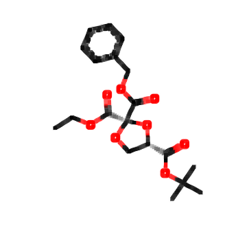 CCOC(=O)[C@@]1(C(=O)OCc2ccccc2)OC[C@@H](C(=O)OC(C)(C)C)O1